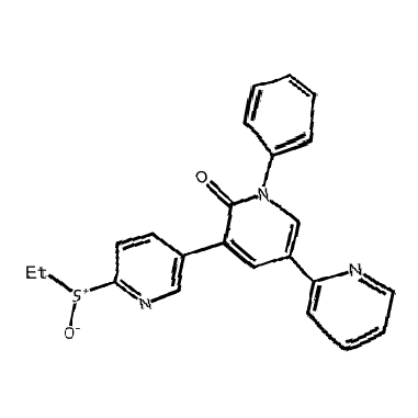 CC[S+]([O-])c1ccc(-c2cc(-c3ccccn3)cn(-c3ccccc3)c2=O)cn1